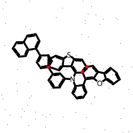 c1cc(-c2ccc(-c3cccc4ccccc34)cc2)cc(N(c2ccccc2-c2cccc3c2oc2ccccc23)c2cccc3sc4ccccc4c23)c1